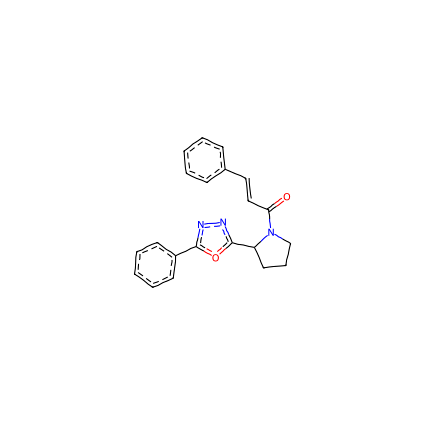 O=C(C=Cc1ccccc1)N1CCCC1c1nnc(-c2ccccc2)o1